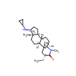 CS[C@@H]1C[C@]2(C)[C@H]3CC[C@]4(C)[C@@H](NC5CC5)CC[C@H]4[C@@H]3CC[C@H]2N(C)C1=O